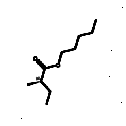 CCCCCOC(=O)[C@@H](C)CC